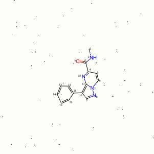 CNC(=O)c1ccn2ncc(-c3ccccc3)c2n1